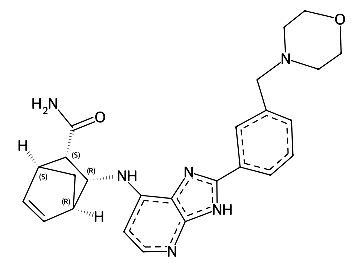 NC(=O)[C@@H]1[C@H](Nc2ccnc3[nH]c(-c4cccc(CN5CCOCC5)c4)nc23)[C@H]2C=C[C@@H]1C2